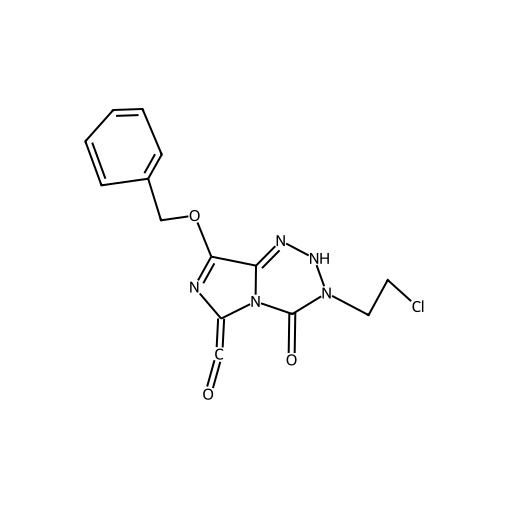 O=C=c1nc(OCc2ccccc2)c2n1C(=O)N(CCCl)NN=2